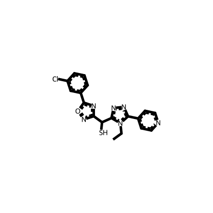 CCn1c(-c2ccncc2)nnc1C(S)c1noc(-c2cccc(Cl)c2)n1